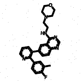 Cc1cc(-c2ncccc2-c2ccc3ncnc(NCCN4CCOCC4)c3c2)ccc1F